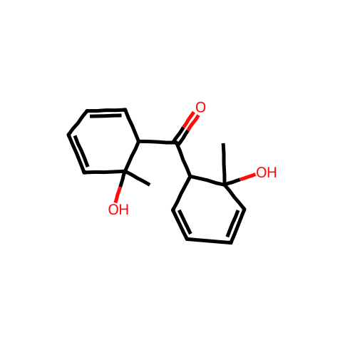 CC1(O)C=CC=CC1C(=O)C1C=CC=CC1(C)O